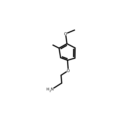 COc1ccc(OCCN)cc1C